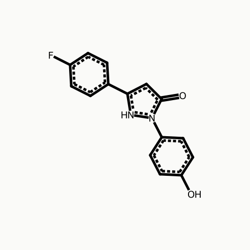 O=c1cc(-c2ccc(F)cc2)[nH]n1-c1ccc(O)cc1